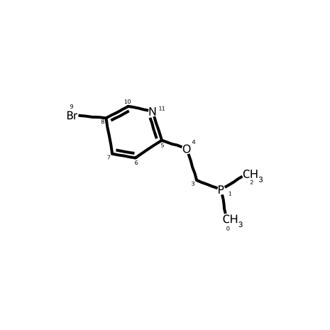 CP(C)COc1ccc(Br)cn1